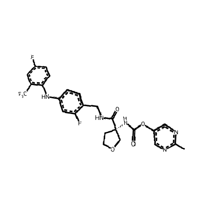 Cc1ncc(OC(=O)N[C@@]2(C(=O)NCc3ccc(Nc4ccc(F)cc4C(F)(F)F)cc3F)CCOC2)cn1